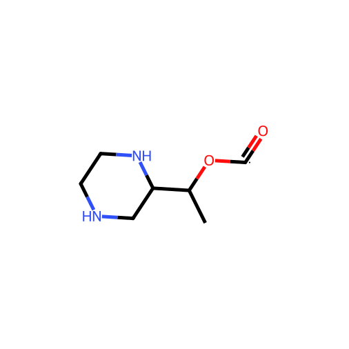 CC(O[C]=O)C1CNCCN1